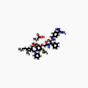 CC(=O)O.CCCCC1(CC)CN(c2ccccc2)c2cc(SC)c(OCC(=O)N[C@@H](C(=O)NCc3ccc(C(=N)N)cc3)c3ccccc3)cc2S(=O)(=O)C1